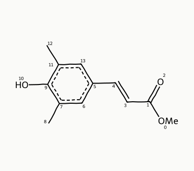 COC(=O)C=Cc1cc(C)c(O)c(C)c1